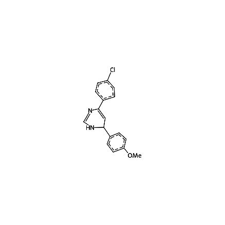 COc1ccc(C2C=C(c3ccc(Cl)cc3)N=CN2)cc1